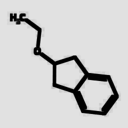 CCOC1Cc2ccccc2C1